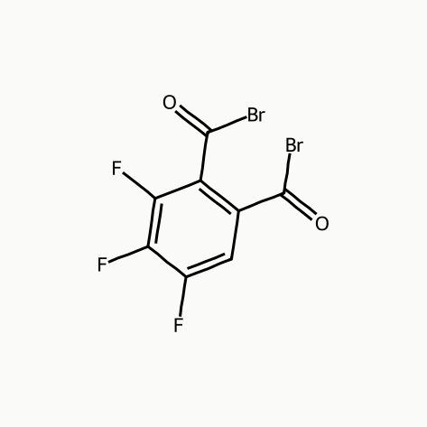 O=C(Br)c1cc(F)c(F)c(F)c1C(=O)Br